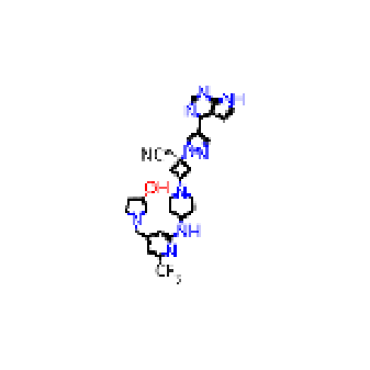 N#CC[C@]1(n2cc(-c3ncnc4[nH]ccc34)cn2)C[C@@H](N2CCC(Nc3cc(CN4CC[C@H](O)C4)cc(C(F)(F)F)n3)CC2)C1